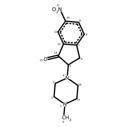 CN1CCN(C2Cc3ccc([N+](=O)[O-])cc3C2=O)CC1